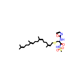 CC(C)=CCC/C(C)=C/CCC(C)=CCCC(C)=CCSCC(Nc1ncco1)C(=O)NS(C)(=O)=O